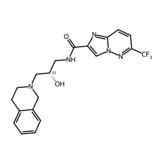 O=C(NC[C@H](O)CN1CCc2ccccc2C1)c1cn2nc(C(F)(F)F)ccc2n1